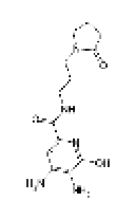 Nc1cc(C(=O)NCCCN2CCCC2=O)nc(O)c1N